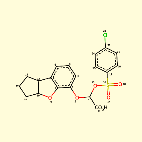 O=C(O)C(Oc1cccc2c1OC1CCCC21)OS(=O)(=O)c1ccc(Cl)cc1